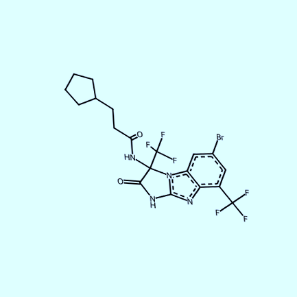 O=C(CCC1CCCC1)NC1(C(F)(F)F)C(=O)Nc2nc3c(C(F)(F)F)cc(Br)cc3n21